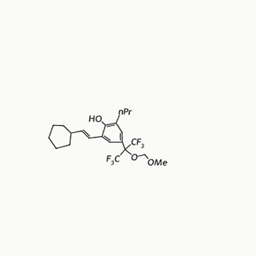 CCCc1cc(C(OCOC)(C(F)(F)F)C(F)(F)F)cc(C=CC2CCCCC2)c1O